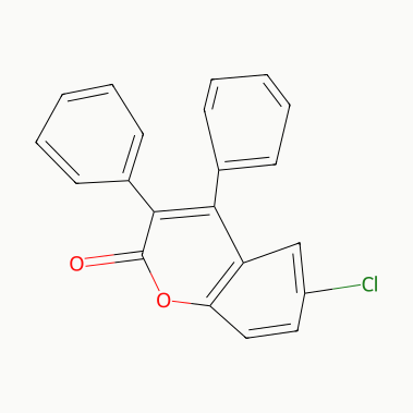 O=c1oc2ccc(Cl)cc2c(-c2ccccc2)c1-c1ccccc1